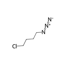 [N-]=[N+]=NCCCCCl